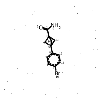 NC(=O)C12CC(c3ccc(Br)cc3)(C1)C2